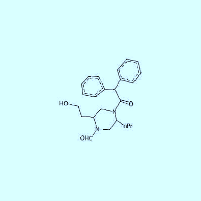 CCCC1CN(C=O)C(CCO)CN1C(=O)C(c1ccccc1)c1ccccc1